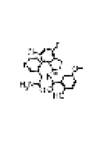 COc1ccc(O)c(C(=O)N(C(C(N)=O)c2cccnc2)[C@@H]2CCc3c(F)cc(Cl)cc32)c1